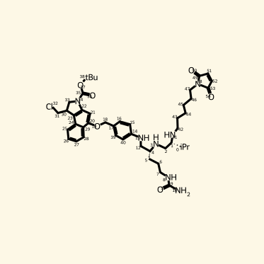 CC(C)[C@H](CN[C@H](CCCNC(N)=O)CNc1ccc(COc2cc3c(c4ccccc24)C(CCl)CN3C(=O)OC(C)(C)C)cc1)NCCCCCCN1C(=O)C=CC1=O